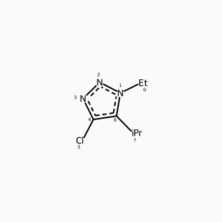 CCn1nnc(Cl)c1C(C)C